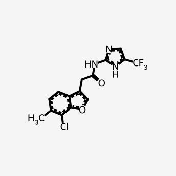 Cc1ccc2c(CC(=O)Nc3ncc(C(F)(F)F)[nH]3)coc2c1Cl